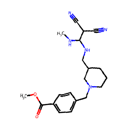 CNC(NCC1CCCN(Cc2ccc(C(=O)OC)cc2)C1)C(C#N)C#N